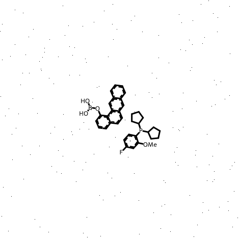 COc1cc(F)ccc1P(C1CCCC1)C1CCCC1.OB(O)Oc1cccc2ccc3cc4ccccc4cc3c12